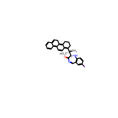 C[C@](C(=O)O)(C1=c2ccc3c(c2CCC1)CC=c1ccccc1=3)[C@@H]1Nc2ccc(I)cc2C=NC1=O